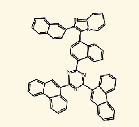 c1ccc2cc(-c3nc4ccccn4c3-c3ccc(-c4nc(-c5cc6ccccc6c6ccccc56)nc(-c5cc6ccccc6c6ccccc56)n4)c4ccccc34)ccc2c1